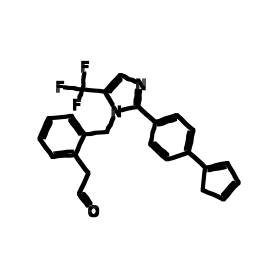 O=CCc1ccccc1Cn1c(C(F)(F)F)cnc1-c1ccc(C2=CC=CC2)cc1